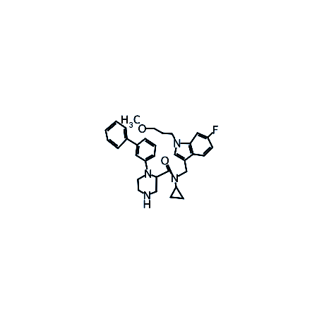 COCCCn1cc(CN(C(=O)C2CNCCN2c2cccc(-c3ccccc3)c2)C2CC2)c2ccc(F)cc21